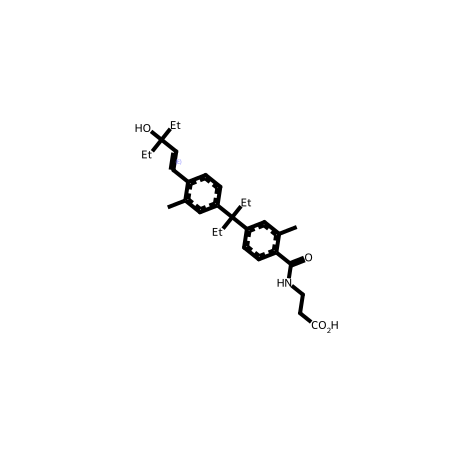 CCC(O)(/C=C/c1ccc(C(CC)(CC)c2ccc(C(=O)NCCC(=O)O)c(C)c2)cc1C)CC